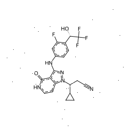 N#CCC(C1CC1)n1nc(Nc2ccc([C@H](O)C(F)(F)F)c(F)c2)c2c(=O)[nH]ccc21